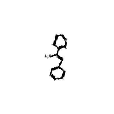 P/C(=C\c1ccccc1)c1ccccc1